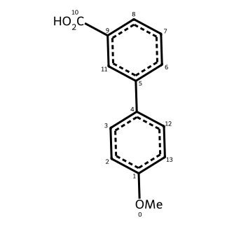 COc1ccc(-c2cccc(C(=O)O)c2)cc1